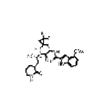 COc1cccc2[nH]c(C(=O)N[C@@H](CC3(C)CC3(F)F)C(=O)N[C@H](C#N)C[C@@H]3CCCNC3=O)cc12